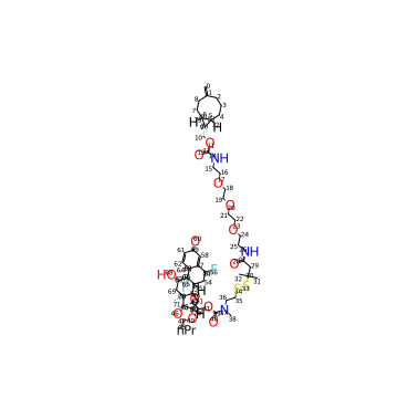 C=C1CCC[C@H]2[C@@H](CC1)[C@H]2COC(=O)NCCOCCOCCOCCNC(=O)CC(C)(C)SSCCN(C)C(=O)OCC(=O)[C@@]12OC(CCC)O[C@@H]1CC1[C@@H]3C[C@H](F)C4=CC(=O)C=C[C@]4(C)[C@@]3(F)[C@@H](O)C[C@@]12C